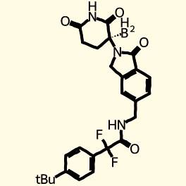 B[C@]1(N2Cc3cc(CNC(=O)C(F)(F)c4ccc(C(C)(C)C)cc4)ccc3C2=O)CCC(=O)NC1=O